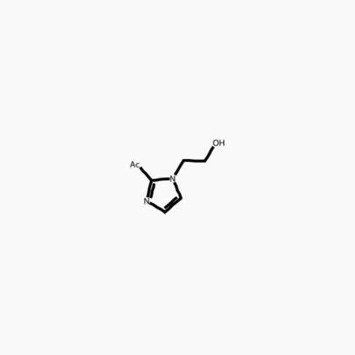 CC(=O)c1n[c]cn1CCO